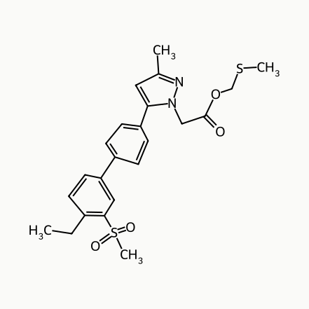 CCc1ccc(-c2ccc(-c3cc(C)nn3CC(=O)OCSC)cc2)cc1S(C)(=O)=O